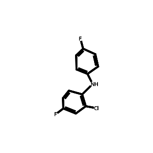 Fc1ccc(Nc2ccc(F)cc2Cl)cc1